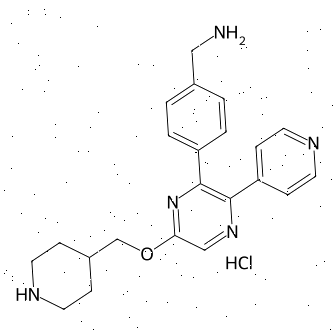 Cl.NCc1ccc(-c2nc(OCC3CCNCC3)cnc2-c2ccncc2)cc1